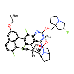 COCOc1cc(-c2c(F)c(OC)c3c(N4CC5CCC(C4)N5C(=O)OC(C)(C)C)nc(OC[C@@]45CCCN4C[C@H](F)C5)nc3c2F)c2c(C#C[Si](C(C)C)(C(C)C)C(C)C)c(F)ccc2c1